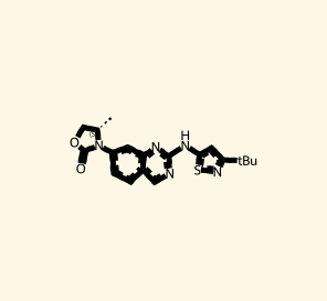 C[C@H]1COC(=O)N1c1ccc2cnc(Nc3cc(C(C)(C)C)ns3)nc2c1